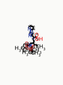 CCC[C@H](C/C=C(\C(=O)O)c1cn(-c2ccccn2)cn1)CN(C(=O)OC(C)(C)C)C(=O)OC(C)(C)C